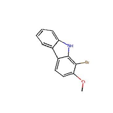 COc1ccc2c([nH]c3ccccc32)c1Br